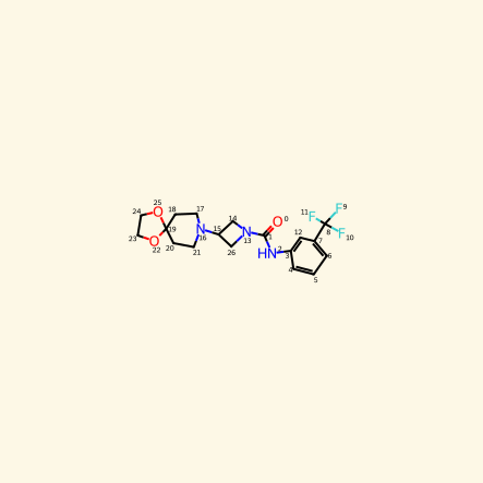 O=C(Nc1cccc(C(F)(F)F)c1)N1CC(N2CCC3(CC2)OCCO3)C1